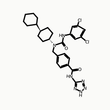 O=C(Nc1nn[nH]n1)c1ccc(CN(C(=O)Nc2cc(Cl)cc(Cl)c2)[C@H]2CC[C@H](C3CCCCC3)CC2)cc1